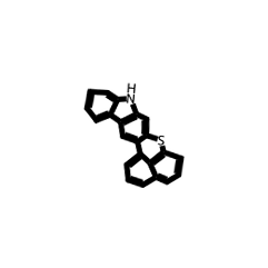 c1cc2c3c(cccc3c1)-c1cc3c(cc1S2)[nH]c1ccccc13